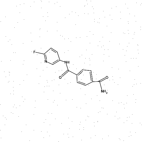 NC(=O)c1ccc(C(=O)Nc2ccc(F)nc2)cc1